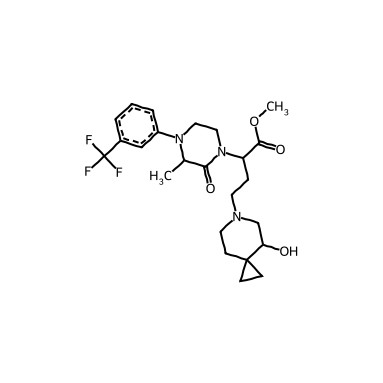 COC(=O)C(CCN1CCC2(CC2)C(O)C1)N1CCN(c2cccc(C(F)(F)F)c2)C(C)C1=O